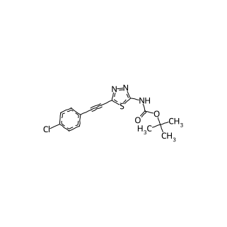 CC(C)(C)OC(=O)Nc1nnc(C#Cc2ccc(Cl)cc2)s1